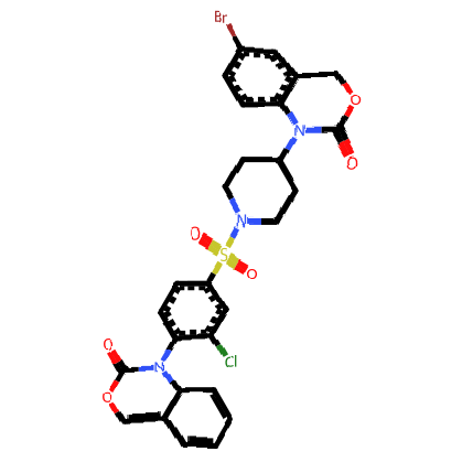 O=C1OCc2cc(Br)ccc2N1C1CCN(S(=O)(=O)c2ccc(N3C(=O)OC=C4C=CC=CC43)c(Cl)c2)CC1